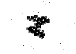 CC(C)(C)[C@H](F)c1cnc2c(c1)[C@@H](NC[C@H](O)[C@H](CC(N)=O)Cc1ccc(Cl)cc1)CC1(CCC1)O2